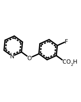 O=C(O)c1cc(Oc2ccccn2)ccc1F